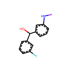 OC(c1cccc(F)c1)c1cccc(NI)c1